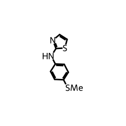 CSc1ccc(Nc2nccs2)cc1